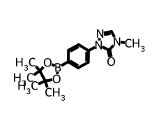 Cn1cnn(-c2ccc(B3OC(C)(C)C(C)(C)O3)cc2)c1=O